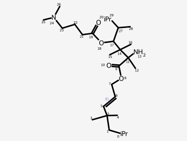 CC(C)CC(C)(C)/C=C/COC(=O)C(C)(N)C(C)(C)C(OC(=O)CCCN(C)C)C(C)C(C)C